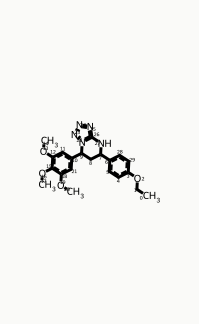 CCOc1ccc(C2CC(c3cc(OC)c(OC)c(OC)c3)n3nnnc3N2)cc1